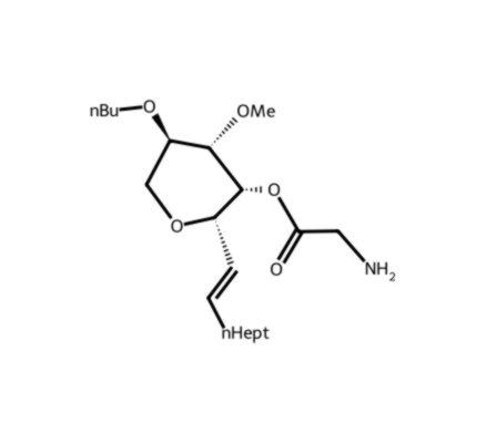 CCCCCCC/C=C/[C@@H]1OC[C@@H](OCCCC)[C@H](OC)[C@@H]1OC(=O)CN